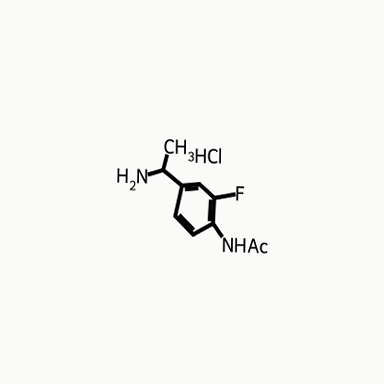 CC(=O)Nc1ccc(C(C)N)cc1F.Cl